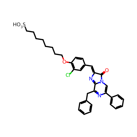 O=C1C(=Cc2ccc(OCCCCCCCCS(=O)(=O)O)c(Cl)c2)N=C2C(Cc3ccccc3)=NC(c3ccccc3)=CN12